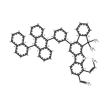 C=Cc1ccc2c(sc3c4c(c(-c5cccc(-c6c7ccccc7c(-c7cccc8ccccc78)c7ccccc67)c5)cc32)-c2ccccc2C4(C)C)c1/C=C\C